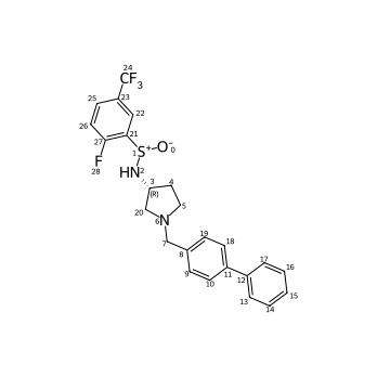 [O-][S+](N[C@@H]1CCN(Cc2ccc(-c3ccccc3)cc2)C1)c1cc(C(F)(F)F)ccc1F